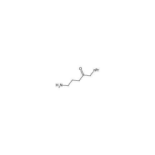 CCCCC(=O)CCCN